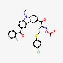 CCN1c2ccc(C(=O)c3ccccc3C)cc2C2C=C(C(=O)/C(CCSc3ccc(Cl)cc3)=N/OC(C)=O)C=CC21